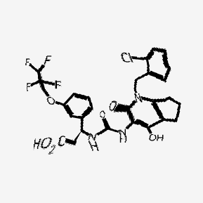 O=C(O)C[C@H](NC(=O)Nc1c(O)c2c(n(Cc3ccccc3Cl)c1=O)CCC2)c1cccc(OC(F)(F)C(F)F)c1